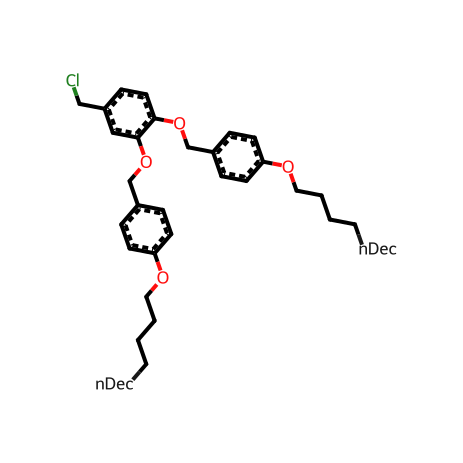 CCCCCCCCCCCCCCOc1ccc(COc2ccc(CCl)cc2OCc2ccc(OCCCCCCCCCCCCCC)cc2)cc1